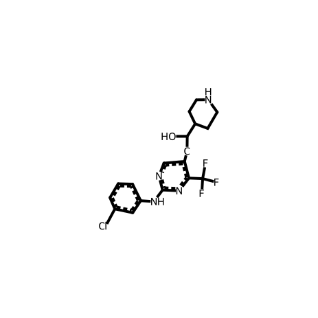 OC(Cc1cnc(Nc2cccc(Cl)c2)nc1C(F)(F)F)C1CCNCC1